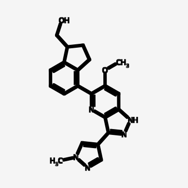 COc1cc2[nH]nc(-c3cnn(C)c3)c2nc1-c1cccc2c1CCC2CO